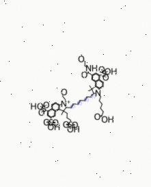 COCCNC(=O)c1cc(S(=O)(=O)O)c2ccc3c(c2c1)C(C)(C)\C(=C/C=C/C=C/C=C/C1=[N+](CCOC)c2ccc4c(S(=O)(=O)O)cc(S(=O)(=O)O)cc4c2C1(C)CCCS(=O)(=O)O)N3CCCCCC(=O)O